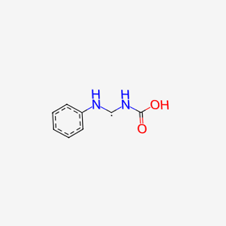 O=C(O)N[CH]Nc1ccccc1